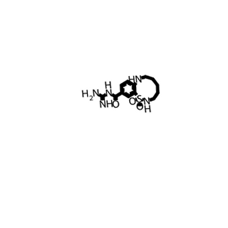 N=C(N)NC(=O)c1ccc2c(c1)S(=O)(=O)NCCCCCN2